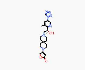 Cc1cc(-n2cnnn2)cnc1[C@@H](O)CN1CCC2(CC1)CCN(C1=CC(=O)OC1)CC2